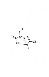 C=C(C)C(=O)O.N[C@H](CF)C(=O)O